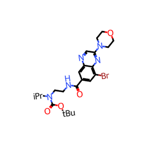 CC(C)N(CCNC(=O)c1cc(Br)c2nc(N3CCOCC3)cnc2c1)C(=O)OC(C)(C)C